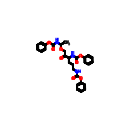 CC(NC(=O)Oc1ccccc1)OCC(=O)C(CCCNC(=O)Oc1ccccc1)NC(=O)Oc1ccccc1